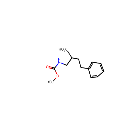 CC(C)(C)OC(=O)NCC(CCc1ccccc1)C(=O)O